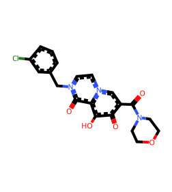 O=C(c1cn2ccn(Cc3cccc(Cl)c3)c(=O)c2c(O)c1=O)N1CCOCC1